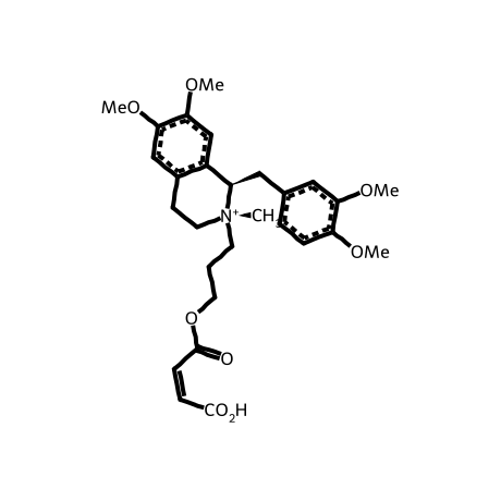 COc1ccc(C[C@@H]2c3cc(OC)c(OC)cc3CC[N@@+]2(C)CCCOC(=O)/C=C\C(=O)O)cc1OC